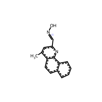 Cc1cc(/C=N/O)nc2c1ccc1ccccc12